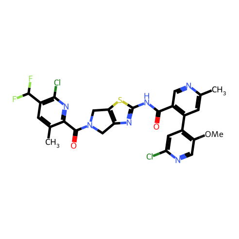 COc1cnc(Cl)cc1-c1cc(C)ncc1C(=O)Nc1nc2c(s1)CN(C(=O)c1nc(Cl)c(C(F)F)cc1C)C2